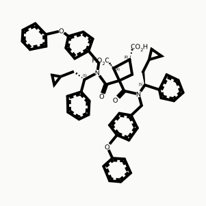 O=C(O)[C@@H]1[C@H](C(=O)O)CC1(C(=O)N(Cc1ccc(Oc2ccccc2)cc1)[C@@H](CC1CC1)c1ccccc1)C(=O)N(Cc1ccc(Oc2ccccc2)cc1)[C@@H](CC1CC1)c1ccccc1